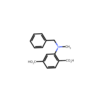 CN(Cc1ccccc1)c1cc(C(=O)O)ccc1C(=O)O